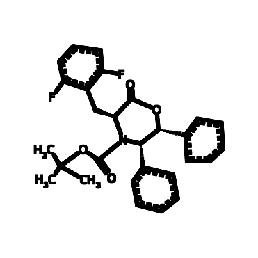 CC(C)(C)OC(=O)N1[C@@H](Cc2c(F)cccc2F)C(=O)O[C@H](c2ccccc2)[C@@H]1c1ccccc1